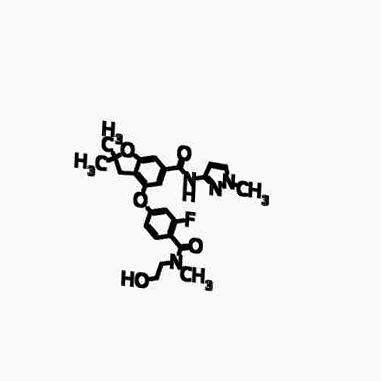 CN(CCO)C(=O)c1ccc(Oc2cc(C(=O)Nc3ccn(C)n3)cc3c2CC(C)(C)O3)cc1F